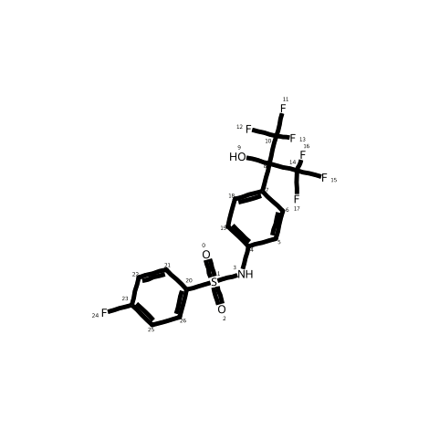 O=S(=O)(Nc1ccc(C(O)(C(F)(F)F)C(F)(F)F)cc1)c1ccc(F)cc1